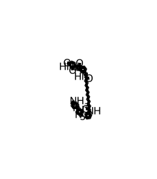 CC1(N)CCN(c2cnc(Sc3cccc(NC(=O)CCCCCCCCCCCCC(=O)NCc4ccc5c(c4)CN(C4CCC(=O)NC4=O)C5=O)c3)cn2)CC1